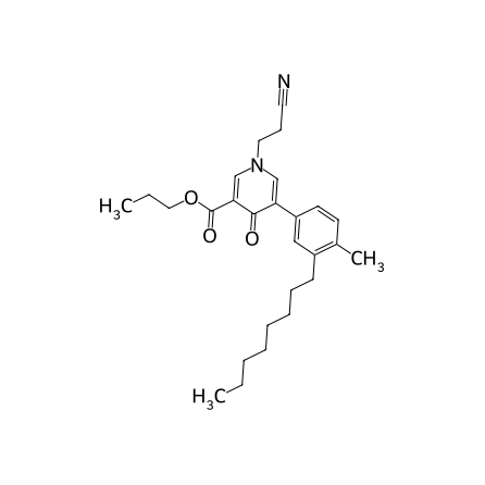 CCCCCCCCc1cc(-c2cn(CCC#N)cc(C(=O)OCCC)c2=O)ccc1C